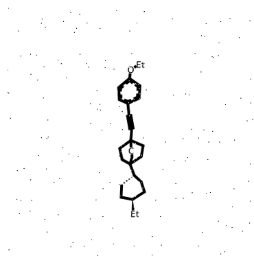 CCOc1ccc(C#CC23CCC([C@H]4CC[C@H](CC)CC4)(CC2)CC3)cc1